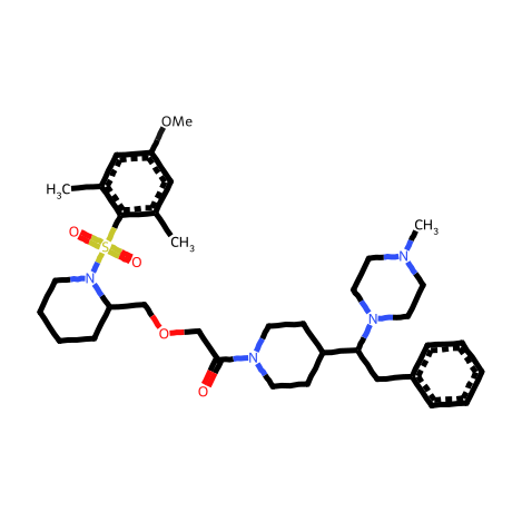 COc1cc(C)c(S(=O)(=O)N2CCCCC2COCC(=O)N2CCC(C(Cc3ccccc3)N3CCN(C)CC3)CC2)c(C)c1